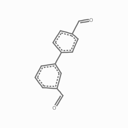 O=Cc1ccc(-c2cccc(C=O)c2)cc1